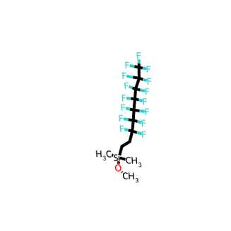 CO[Si](C)(C)CCC(F)(F)C(F)(F)C(F)(F)C(F)(F)C(F)(F)C(F)(F)C(F)(F)F